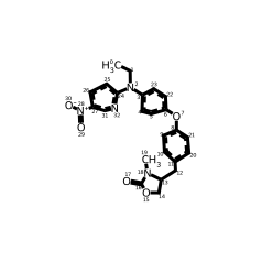 CCN(c1ccc(Oc2ccc(CC3COC(=O)N3C)cc2)cc1)c1ccc([N+](=O)[O-])cn1